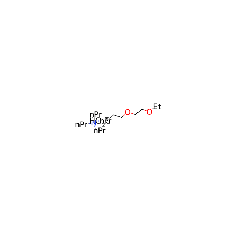 CCC[N+](CCC)(CCC)CCC.CCOCCOCCC(=O)O